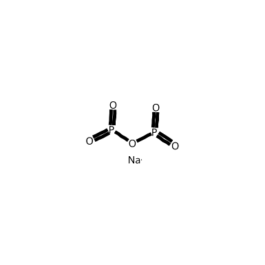 O=P(=O)OP(=O)=O.[Na]